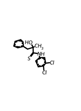 CC(O)(Cc1ccccc1)C(=S)Nc1ccc(Cl)c(Cl)c1